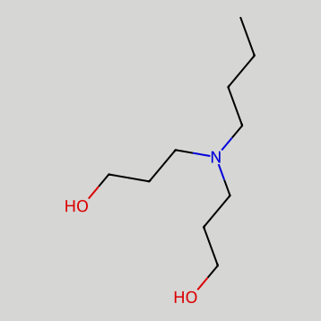 CCCCN(CCCO)CCCO